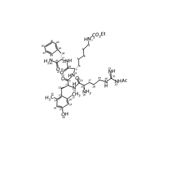 CCOC(=O)NCCCCC[C@H](NC(=O)[C@H](Cc1c(C)cc(O)cc1C)NC(=O)[C@H](N)CCCNC(=N)NC(C)=O)C(=O)N[C@@H](Cc1ccccc1)C(N)=O